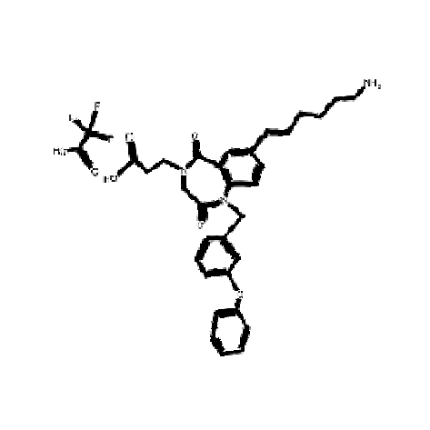 NCCCCCCc1ccc2c(c1)C(=O)N(CCC(=O)O)CC(=O)N2Cc1cccc(Oc2ccccc2)c1.O=C(O)C(F)(F)F